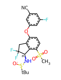 CC(C)(C)[S+]([O-])N[C@@H]1c2c(S(C)(=O)=O)ccc(Oc3cc(F)cc(C#N)c3)c2CC1(F)F